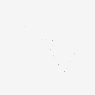 C[C@H](NCc1cccc(OCc2ccccc2)c1)c1cccc2ccccc12